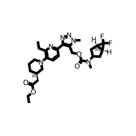 CCOC(=O)C[C@H]1CCCN(c2ccc(-c3nnn(C)c3COC(=O)N(C)C3C[C@@H]4[C@H](C3)C4(F)F)nc2CC)C1